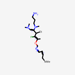 CCC(/C(=C/N(C)C)N(C)CCCN)/C(F)=C(\C)OC/N=C\C=C/CNC